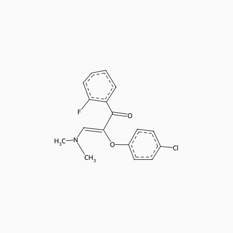 CN(C)/C=C(\Oc1ccc(Cl)cc1)C(=O)c1ccccc1F